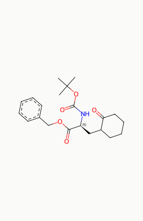 CC(C)(C)OC(=O)N[C@@H](CC1CCCCC1=O)C(=O)OCc1ccccc1